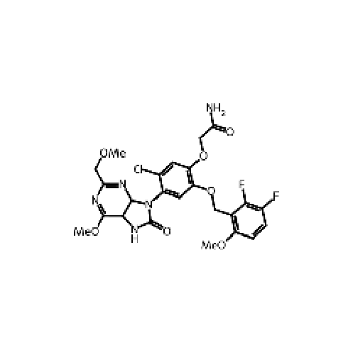 COCC1=NC2C(NC(=O)N2c2cc(OCc3c(OC)ccc(F)c3F)c(OCC(N)=O)cc2Cl)C(OC)=N1